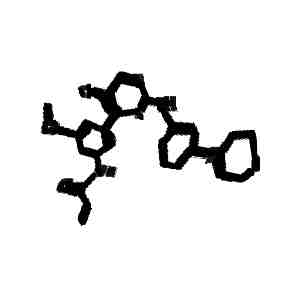 C=CC(=O)Nc1cc(OC)cc(-c2nc(Nc3cccc(N4CCOCC4)c3)ncc2Cl)c1